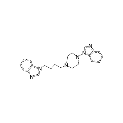 c1ccc2c(c1)ncn2CCCCN1CCN(n2cnc3ccccc32)CC1